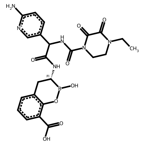 CCN1CCN(C(=O)NC(C(=O)N[C@H]2Cc3cccc(C(=O)O)c3OB2O)c2ccc(N)nc2)C(=O)C1=O